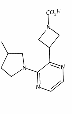 CC1CCN(c2nccnc2C2CN(C(=O)O)C2)C1